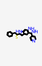 N=C(c1ccncc1)c1cc2cc(C(=S)Cc3ccccc3)[nH]c2cc1N